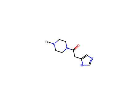 CC(C)N1CCN(C(=O)Cc2cnc[nH]2)CC1